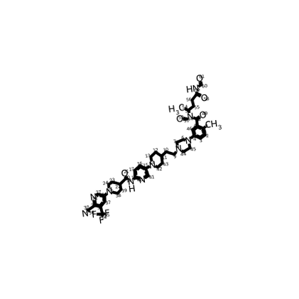 Cc1ccc(N2CCN(CCC3CCN(c4ccc(NC(=O)C5CCN(c6cnc(C#N)c(C(F)(F)F)c6)CC5)nc4)CC3)CC2)cc1C(=O)N(C=O)C(C)CCC(=O)NC=O